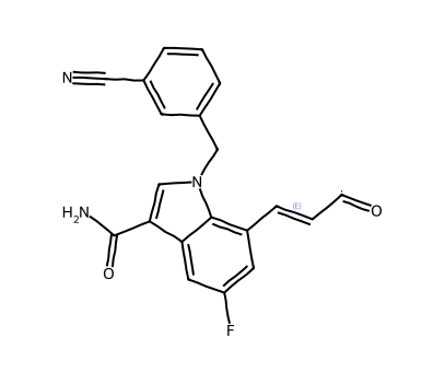 N#Cc1cccc(Cn2cc(C(N)=O)c3cc(F)cc(/C=C/[C]=O)c32)c1